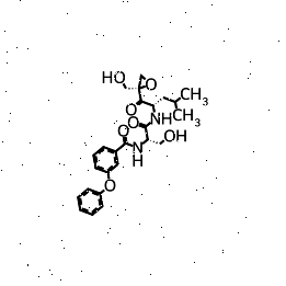 CC(C)C[C@H](NC(=O)[C@H](CO)NC(=O)c1cccc(Oc2ccccc2)c1)C(=O)[C@@]1(CO)CO1